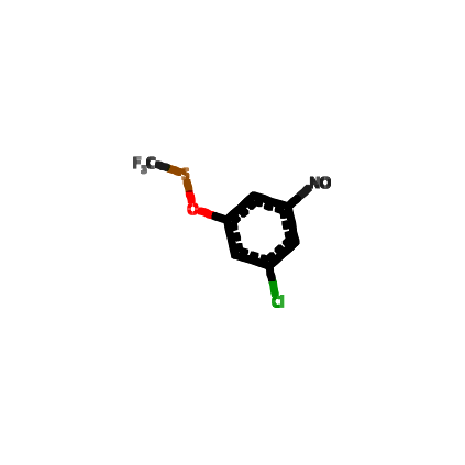 O=Nc1cc(Cl)cc(OSC(F)(F)F)c1